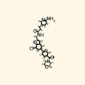 Nc1ccc(C=CC(=O)NCc2cc3cc(-c4ccc(C(=O)N5CCOCC5)cn4)cc(Cl)c3o2)cn1